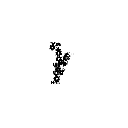 CC(C)c1ccccc1[C@@H]1CCCN1C1CC2(CCN(c3ccc(C(=O)NS(=O)(=O)c4cc5c(c([N+](=O)[O-])c4)N[C@@H](C4CCC(C)(O)CC4)CO5)c(N4c5cc6cc[nH]c6nc5O[C@H]5COC[C@@H]54)c3)CC2)C1